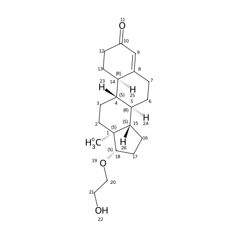 C[C@]12CC[C@H]3[C@@H](CCC4=CC(=O)CC[C@@H]43)[C@@H]1CC[C@@H]2OCCO